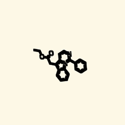 CCOC(=O)Cc1c2ccccc2n2c(-c3ccccc3)nccc12